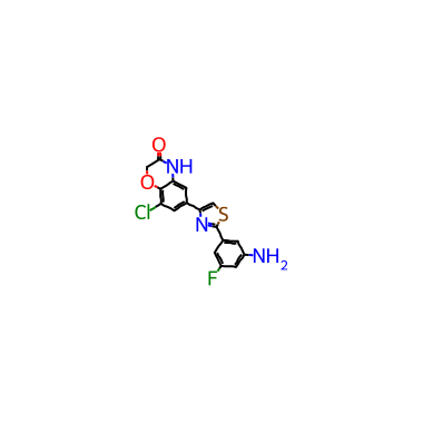 Nc1cc(F)cc(-c2nc(-c3cc(Cl)c4c(c3)NC(=O)CO4)cs2)c1